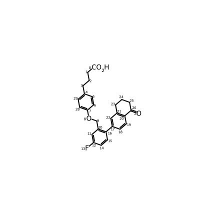 O=C(O)CCCc1ccc(OCc2cc(F)ccc2-c2ccc3c(c2)CCCC3=O)cc1